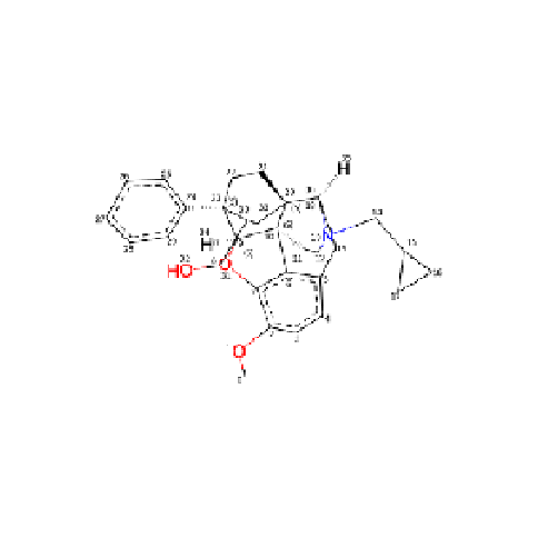 COc1ccc2c3c1O[C@@H]1[C@]34CCN(CC3CC3)[C@H](C2)[C@]42CC[C@@]1(c1ccccc1)C(CO)C2